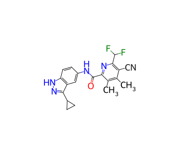 Cc1c(C(=O)Nc2ccc3[nH]nc(C4CC4)c3c2)nc(C(F)F)c(C#N)c1C